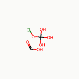 O=CO.OC(O)(O)OCl